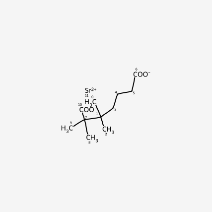 CC(C)(CCCC(=O)[O-])C(C)(C)C(=O)[O-].[Sr+2]